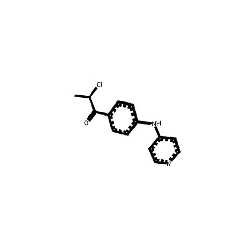 CC(Cl)C(=O)c1ccc(Nc2ccncc2)cc1